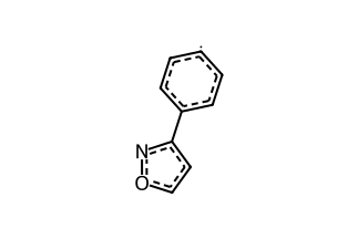 [c]1ccc(-c2ccon2)cc1